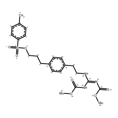 Cc1ccc(S(=O)(=O)OCCCc2ccc(CCNC(=NC(=O)OC(C)(C)C)NC(=O)OC(C)(C)C)cc2)cc1